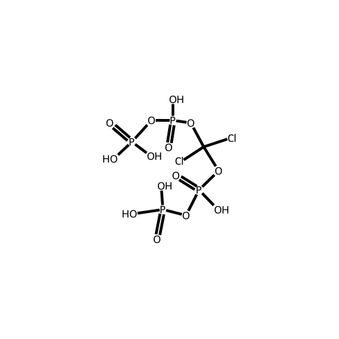 O=P(O)(O)OP(=O)(O)OC(Cl)(Cl)OP(=O)(O)OP(=O)(O)O